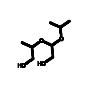 CC(C)OC(CO)OC(C)CO